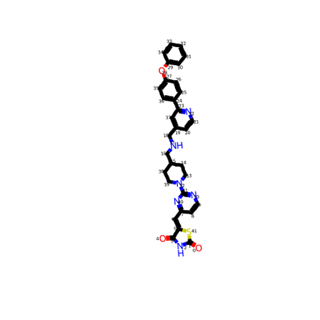 O=C1NC(=O)/C(=C/c2ccnc(N3CCC(CNCc4ccnc(-c5ccc(Oc6ccccc6)cc5)c4)CC3)n2)S1